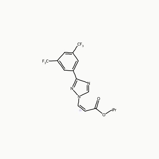 CC(C)OC(=O)/C=C\n1cnc(-c2cc(C(F)(F)F)cc(C(F)(F)F)c2)n1